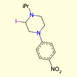 CC(C)N1CCN(c2ccc([N+](=O)[O-])cc2)CC1I